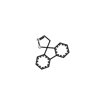 C1=NOC2(C1)c1ccccc1-c1ccccc12